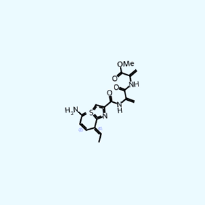 C=C(N)/C=C\C(=C/C)c1nc(C(=O)NC(=C)C(=O)NC(=C)C(=O)OC)cs1